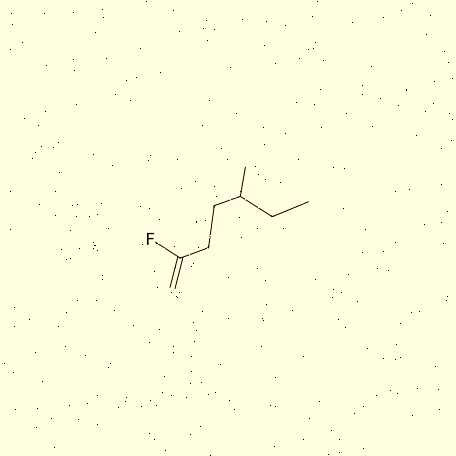 C=C(F)CCC(C)CC